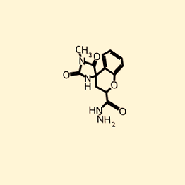 CN1C(=O)NC2(CC(C(=O)NN)Oc3ccccc32)C1=O